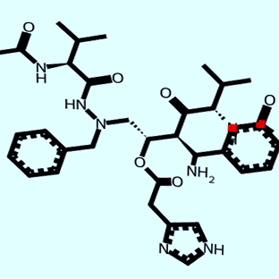 CC(=O)N[C@H](C(=O)NN(Cc1ccccc1)C[C@@H](OC(=O)Cc1c[nH]cn1)[C@@H](C(=O)[C@@H](NC(C)=O)C(C)C)C(N)c1ccccc1)C(C)C